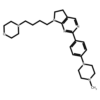 CN1CCN(c2ccc(-c3ncc4c(n3)N(CCCCN3CCOCC3)CC4)cc2)CC1